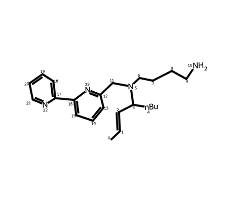 C/C=C/C(CCCC)N(CCCCN)Cc1cccc(-c2ccccn2)n1